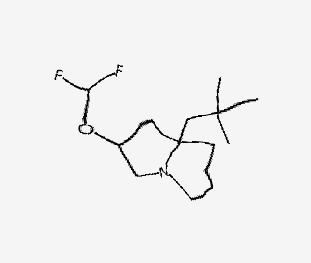 CC(C)(C)CC12CCCN1CC(OC(F)F)C2